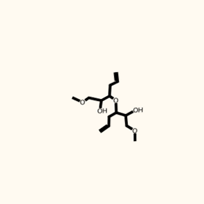 C=CCC(OC(CC=C)C(O)COC)C(O)COC